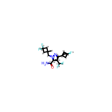 CC1(Cn2nc(C34CC(F)(C3)C4)c(C(F)F)c2C(N)=O)CC(F)(F)C1